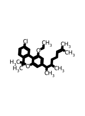 CCOc1cc(C(C)C(C)CCC=C(C)C)cc2c1-c1cc(Cl)ccc1C(C)(C)O2